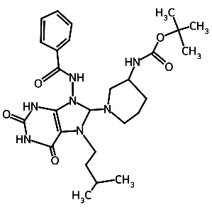 CC(C)CCN1c2c([nH]c(=O)[nH]c2=O)N(NC(=O)c2ccccc2)C1N1CCCC(NC(=O)OC(C)(C)C)C1